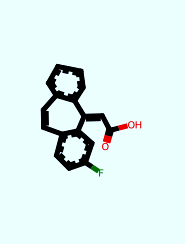 O=C(O)C=C1c2ccccc2C=Cc2ccc(F)cc21